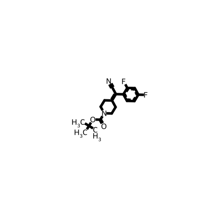 CC(C)(C)OC(=O)N1CCC(=C(C#N)c2ccc(F)cc2F)CC1